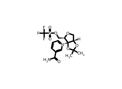 CC1(C)O[C@H]2CO[C@H](COS(=O)(=O)C(F)(F)F)[C@@]2([n+]2cccc(C(N)=O)c2)O1